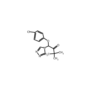 CC(C)(C)C(=O)C(Oc1ccc(Cl)cc1)n1cnnc1